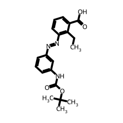 CCc1c(N=Nc2cccc(NC(=O)OC(C)(C)C)c2)cccc1C(=O)O